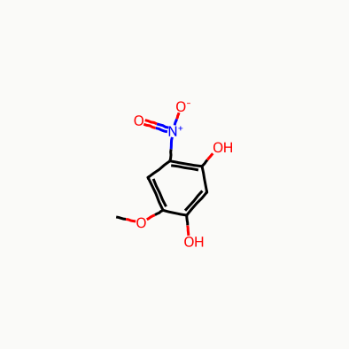 COc1cc([N+](=O)[O-])c(O)cc1O